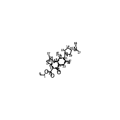 CCOC(=O)c1c2n(c3c(F)c(N4CC[C@H](N(C)C)C4)c(F)cc3c1=O)C(C)S2